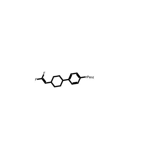 CCCCCc1ccc(C2CCC(C=C(F)F)CC2)cc1